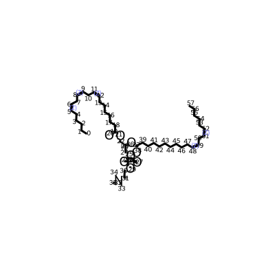 CCCCC/C=C\C/C=C\C/C=C\CCCCCCC(=O)OC[C@H](COP(=O)([O-])OCC[N+](C)(C)C)OC(=O)CCCCCCCCC/C=C\C/C=C\CCCCC